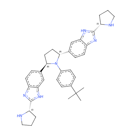 CC(C)(C)c1ccc(N2[C@@H](c3ccc4nc([C@@H]5CCCN5)[nH]c4c3)CC[C@@H]2c2ccc3nc([C@@H]4CCCN4)[nH]c3c2)cc1